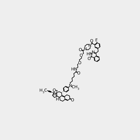 CC#C[C@]12CC[C@H]3[C@@H]4CCC5=CC(=O)CCC5=C4[C@@H](c4ccc(N(C)CCCCCC(=O)NCCOCCOCC(=O)N5CCN(C(=O)c6cc(Cc7n[nH]c(=O)c8ccccc78)ccc6F)CC5)cc4)C[C@@]31CO2